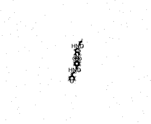 C=CC(=O)NC1CC2CN(S(=O)(=O)c3ccc(C(=O)NCCC4CCOCC4)cc3)CC2S1